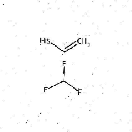 C=CS.FC(F)F